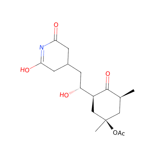 CC(=O)O[C@@]1(C)C[C@@H]([C@H](O)CC2CC(=O)N=C(O)C2)C(=O)[C@@H](C)C1